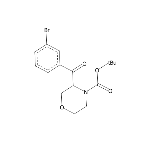 CC(C)(C)OC(=O)N1CCOCC1C(=O)c1cccc(Br)c1